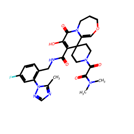 Cc1ncnn1-c1cc(F)ccc1CNC(=O)C1=C(O)C(=O)N2CCCOC=C2C12CCN(C(=O)C(=O)N(C)C)CC2